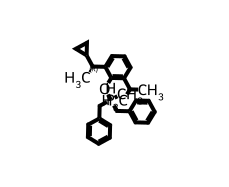 CC(C)c1cccc([C@H](C)C2CC2)c1O[PH](C)(Cc1ccccc1)Cc1ccccc1